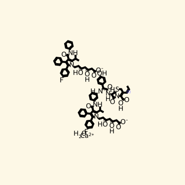 C/C=C\C1=C(C(=O)O)N2C(=O)[C@@H](NC(=O)[C@H](N)c3ccc(O)cc3)[C@H]2SC1.CC(C)c1c(C(=O)Nc2ccccc2)c(-c2ccccc2)c(-c2ccc(F)cc2)n1CC[C@@H](O)C[C@@H](O)CC(=O)[O-].CC(C)c1c(C(=O)Nc2ccccc2)c(-c2ccccc2)c(-c2ccc(F)cc2)n1CC[C@@H](O)C[C@@H](O)CC(=O)[O-].O.[Ca+2]